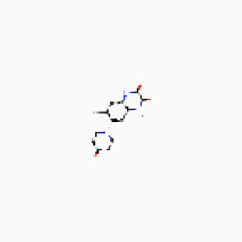 CCCn1c(=O)c(=O)[nH]c2cc([N+](=O)[O-])c(-n3ccc(=O)cc3)cc21